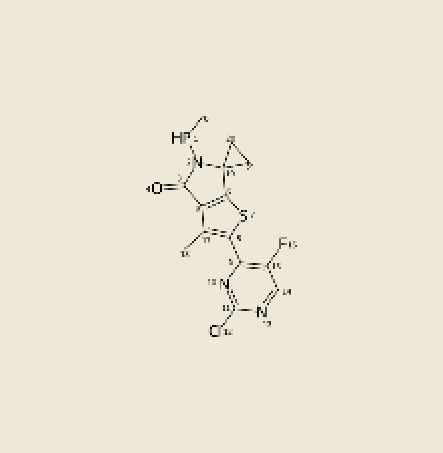 CPN1C(=O)c2c(sc(-c3nc(Cl)ncc3F)c2C)C12CC2